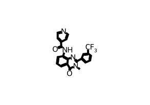 Cn1c(-c2cccc(C(F)(F)F)c2)nc2c(NC(=O)c3ccncc3)cccc2c1=O